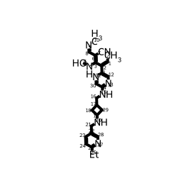 C\C=C(/C(NO)=C(C#N)/C=N\C)c1cnc(NCC2CC(NCc3ccc(CC)nc3)C2)cn1